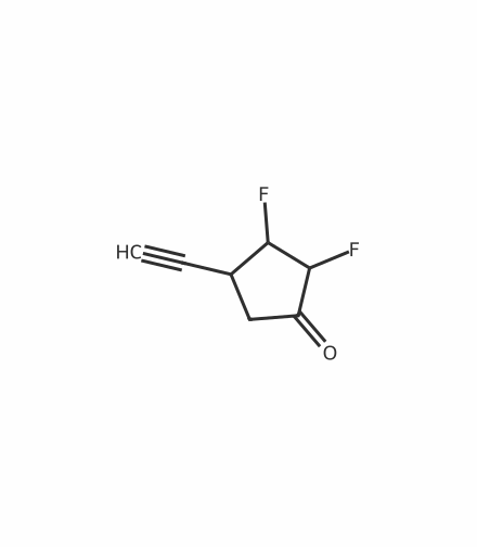 C#CC1CC(=O)C(F)C1F